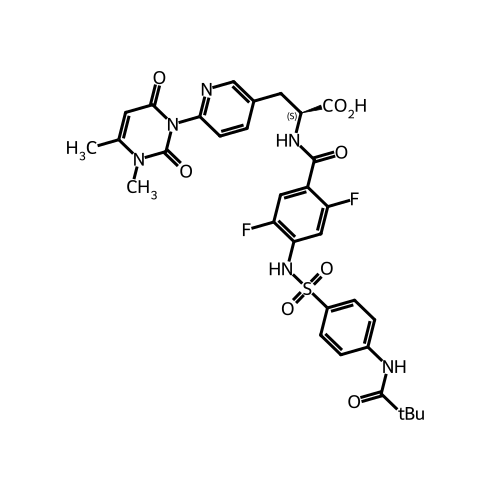 Cc1cc(=O)n(-c2ccc(C[C@H](NC(=O)c3cc(F)c(NS(=O)(=O)c4ccc(NC(=O)C(C)(C)C)cc4)cc3F)C(=O)O)cn2)c(=O)n1C